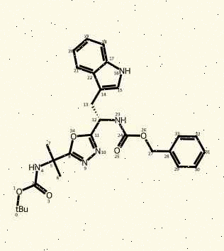 CC(C)(C)OC(=O)NC(C)(C)c1nnc([C@H](Cc2c[nH]c3ccccc23)NC(=O)OCc2ccccc2)o1